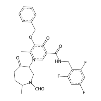 Cc1c(OCc2ccccc2)c(=O)c(C(=O)NCc2c(F)cc(F)cc2F)cn1C1CN(C=O)C(C)CCC1=O